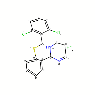 Cl.Clc1cccc(Cl)c1CSc1ccccc1C1N=CCCN1